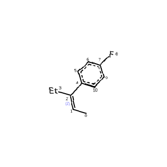 C/C=C(/CC)c1ccc(F)cc1